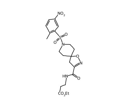 CCOC(=O)CCNC(=O)C1=NOC2(CCN(S(=O)(=O)c3cc([N+](=O)[O-])ccc3C)CC2)C1